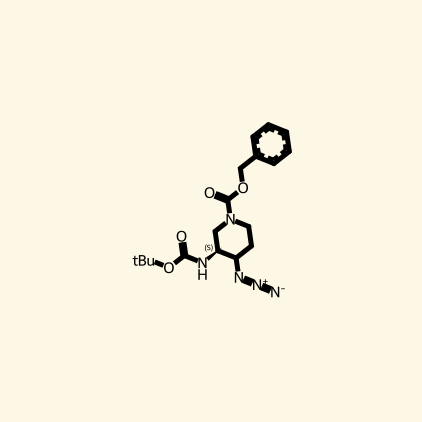 CC(C)(C)OC(=O)N[C@H]1CN(C(=O)OCc2ccccc2)CCC1N=[N+]=[N-]